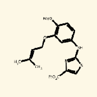 CCOC(=O)c1csc(Nc2ccc(OC)c(OCC=C(C)C)c2)n1